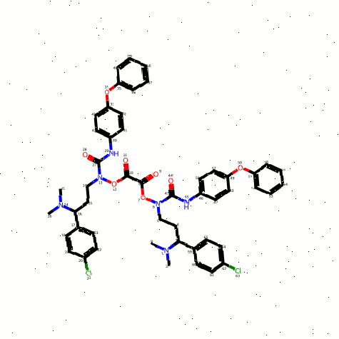 CN(C)C(CCN(OC(=O)C(=O)ON(CCC(c1ccc(Cl)cc1)N(C)C)C(=O)Nc1ccc(Oc2ccccc2)cc1)C(=O)Nc1ccc(Oc2ccccc2)cc1)c1ccc(Cl)cc1